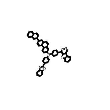 c1ccc2cc(-c3ccc4c(ccc5cc(N(c6ccc(-c7nc8ccccc8o7)cc6)c6ccc(-c7nncc8c7oc7ccccc78)cc6)ccc54)c3)ccc2c1